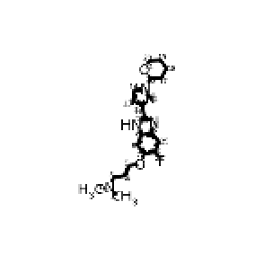 CN(C)CCCOc1cc2[nH]c(-c3[c]cn(C4CCCCO4)n3)nc2cc1F